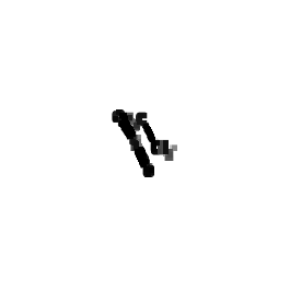 O=[Si]=O.[CH2]C